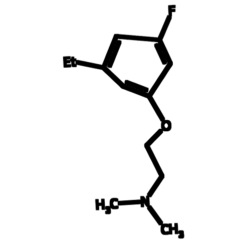 CCc1cc(F)cc(OCCN(C)C)c1